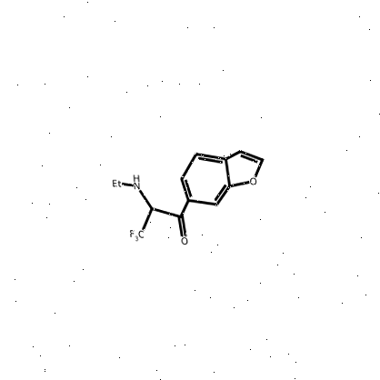 CCNC(C(=O)c1ccc2ccoc2c1)C(F)(F)F